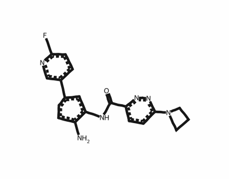 Nc1ccc(-c2ccc(F)nc2)cc1NC(=O)c1ccc(N2CCC2)nn1